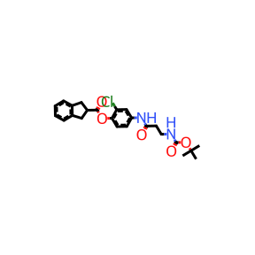 CC(C)(C)OC(=O)NCCC(=O)Nc1ccc(OC(=O)C2Cc3ccccc3C2)c(Cl)c1